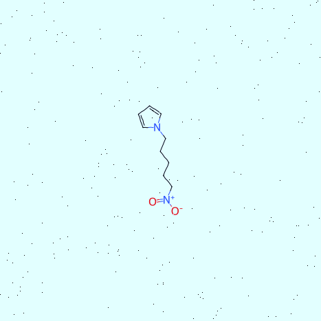 O=[N+]([O-])CCCCCn1cccc1